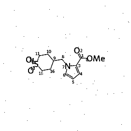 COC(=O)c1cccn1CC1CCS(=O)(=O)CC1